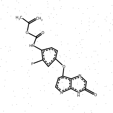 C=C(C)OC(=O)Nc1ccc(Oc2ccnc3[nH]c(=O)cnc23)cc1F